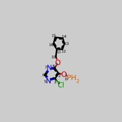 POc1c(Cl)ncnc1OCc1ccccc1